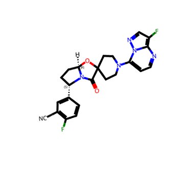 N#Cc1cc([C@@H]2CC[C@H]3OC4(CCN(c5ccnc6c(F)cnn56)CC4)C(=O)N32)ccc1F